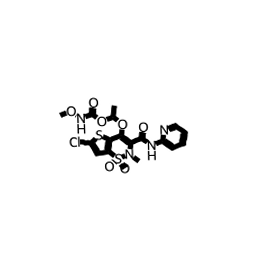 CONC(=O)OC(C)OC1=C(C(=O)Nc2ccccn2)N(C)S(=O)(=O)c2cc(Cl)sc21